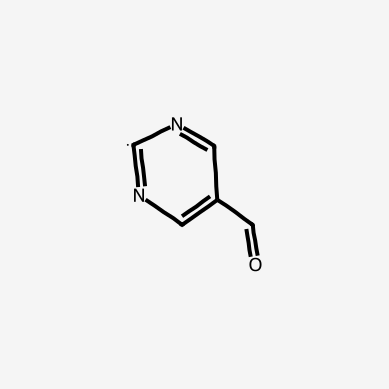 O=Cc1cn[c]nc1